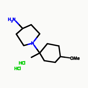 COC1CCC(C)(N2CCC(N)CC2)CC1.Cl.Cl